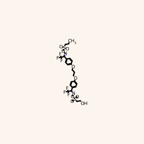 CCCS(=O)(=O)O/N=C(/c1ccc(OCCCOc2ccc(/C(=N/OS(=O)(=O)CCO)C(F)(F)F)cc2)cc1)C(F)(F)F